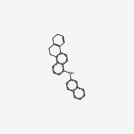 C1=CC2=C(CC1)CCc1c2ccc2c(Nc3ccc4ccccc4c3)cccc12